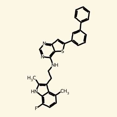 Cc1[nH]c2c(F)ccc(C)c2c1CCNc1ncnc2cc(-c3cccc(-c4ccccc4)c3)sc12